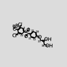 CCCCOc1c(Cl)cc(S(=O)(=O)c2ccc(OC[C@@H](O)CO)cc2)cc1Cl